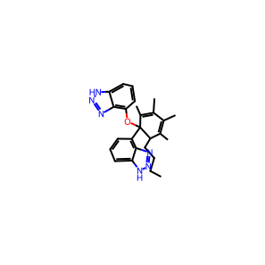 CCCCC1C(C)=C(C)C(C)=C(C)C1(Oc1cccc2[nH]nnc12)c1cccc2[nH]nnc12